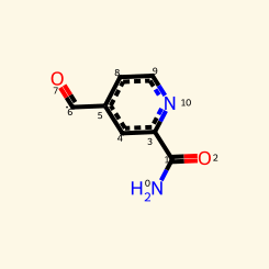 NC(=O)c1cc([C]=O)ccn1